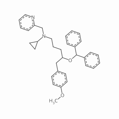 COc1ccc(CC(CCCN(Cc2ccccn2)C2CC2)OC(c2ccccc2)c2ccccc2)cc1